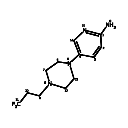 Nc1ccc(N2CCN(CCC(F)(F)F)CC2)cn1